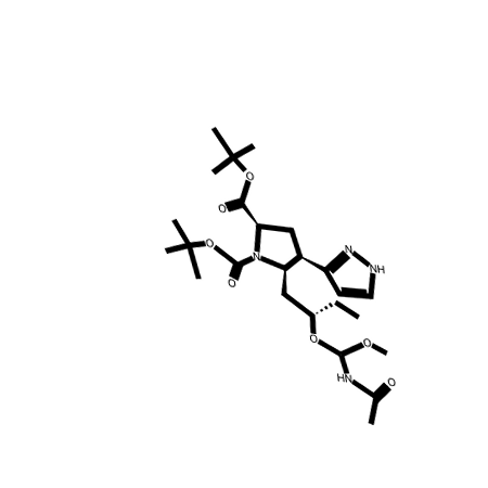 CC[C@@H](C[C@@H]1[C@H](c2cc[nH]n2)C[C@H](C(=O)OC(C)(C)C)N1C(=O)OC(C)(C)C)OC(NC(C)=O)OC